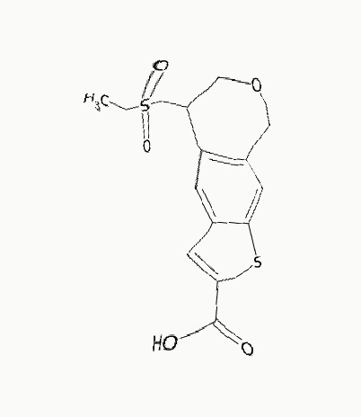 CS(=O)(=O)C1COCc2cc3sc(C(=O)O)cc3cc21